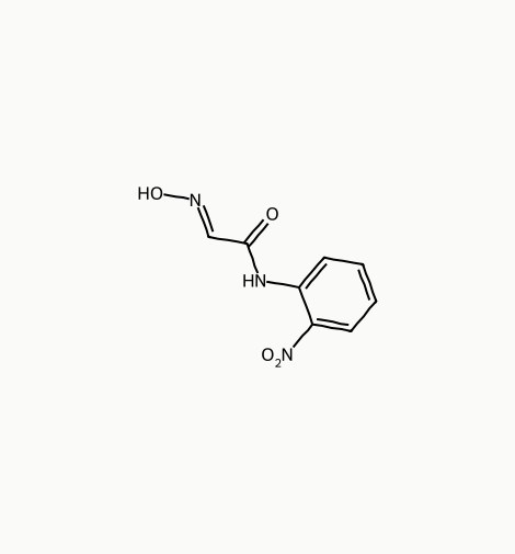 O=C(C=NO)Nc1ccccc1[N+](=O)[O-]